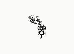 Cc1ccc(S(=O)(=O)OCC[C@H](C)O[Si](C)(C)C(C)(C)C)cc1